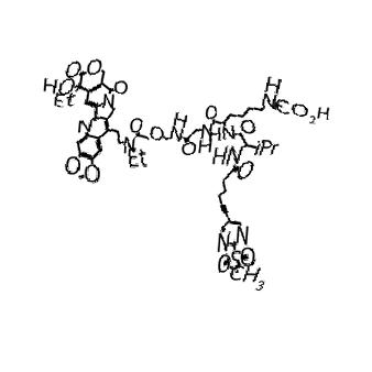 CCN(CCc1c2c(nc3cc4c(cc13)OCO4)-c1cc3c(c(=O)n1C2)COC(=O)[C@]3(O)CC)C(=O)COCNC(=O)CNC(=O)C(CCCCNC(=O)O)NC(=O)C(NC(=O)CCCC#Cc1cnc(S(C)(=O)=O)nc1)C(C)C